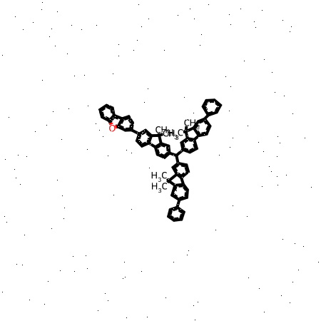 CC1(C)c2cc(-c3ccccc3)ccc2-c2ccc(C(c3ccc4c(c3)C(C)(C)c3cc(-c5ccccc5)ccc3-4)c3ccc4c(c3)C(C)(C)c3cc(-c5ccc6c(c5)oc5ccccc56)ccc3-4)cc21